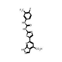 O=C(Nc1ccc(F)c(C(F)(F)F)c1)Nc1ncc(-c2cc(C(=O)O)c3cn[nH]c3n2)s1